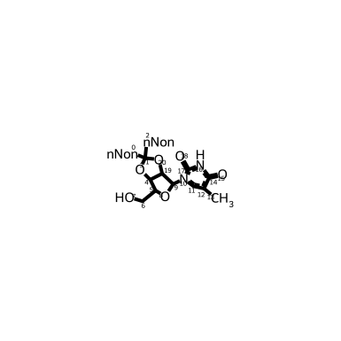 CCCCCCCCCC1(CCCCCCCCC)OC2C(CO)OC(n3cc(C)c(=O)[nH]c3=O)C2O1